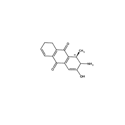 C[C@@H]1C2=C(C=C(O)C1N)C(=O)C1=C(CCC=C1)C2=O